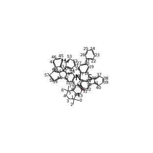 CC1(C)CCC(C)(C)c2c(-c3cc4c(cc3N(c3ccc(-c5ccccc5)cc3)c3cccc5c3sc3ccccc35)C(c3ccccc3)(c3ccccc3)c3ccccc3-4)cccc21